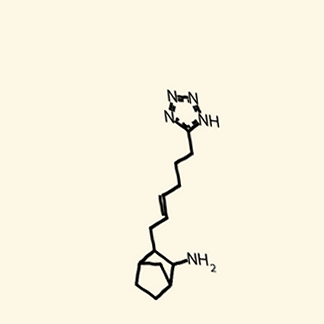 NC1C2CCC(C2)C1C/C=C/CCCc1nnn[nH]1